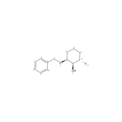 O[C@H]1[C@@H](OCc2ccccc2)CCC[C@@H]1F